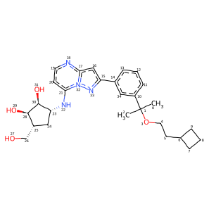 CC(C)(OCCC1CCC1)c1cccc(-c2cc3nccc(N[C@@H]4C[C@H](CO)[C@@H](O)[C@H]4O)n3n2)c1